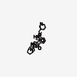 COc1cccc(C(=O)NC2CC3CCC(C2)N3c2ccc(C(=O)NCCc3cccnc3)cn2)c1C